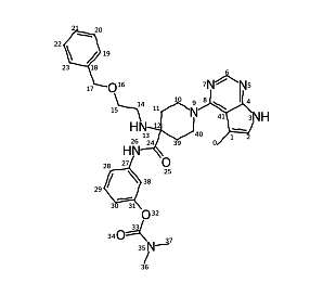 Cc1c[nH]c2ncnc(N3CCC(NCCOCc4ccccc4)(C(=O)Nc4cccc(OC(=O)N(C)C)c4)CC3)c12